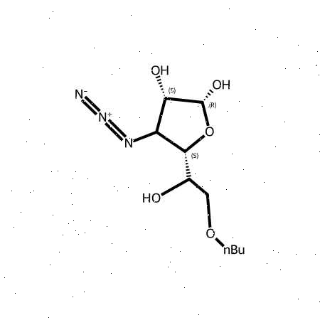 CCCCOCC(O)[C@H]1O[C@@H](O)[C@@H](O)C1N=[N+]=[N-]